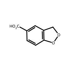 O=C(O)c1ccc2c(c1)COO2